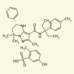 CCC(CC)(NC(=O)c1c(C)nn2c1N[C@@H](c1ccccc1)CC2(C)C)c1ccc(C)cc1.Cc1ccc(O)cc1S(=O)(=O)O